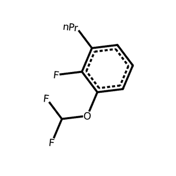 C[CH]Cc1cccc(OC(F)F)c1F